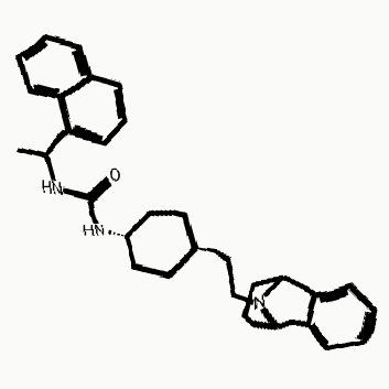 CC(NC(=O)N[C@H]1CC[C@H](CCN2C3CCC2c2ccccc23)CC1)c1cccc2ccccc12